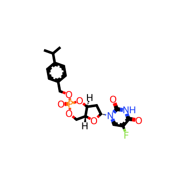 CC(C)c1ccc(COP2(=O)OC[C@H]3O[C@@H](n4cc(F)c(=O)[nH]c4=O)C[C@@H]3O2)cc1